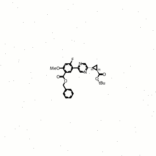 COc1cc(F)c(-c2cnc([C@@H]3C[C@H]3C(=O)OC(C)(C)C)cn2)cc1C(=O)OCc1ccccc1